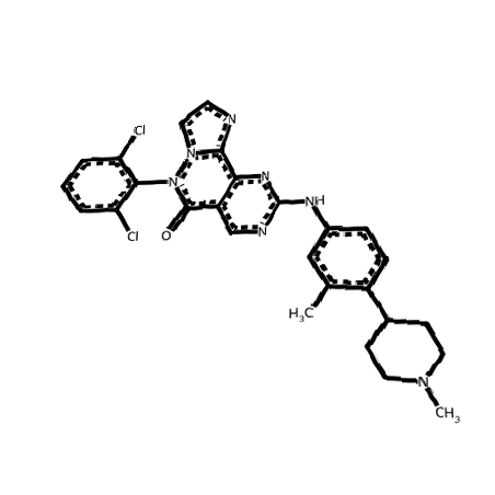 Cc1cc(Nc2ncc3c(=O)n(-c4c(Cl)cccc4Cl)n4ccnc4c3n2)ccc1C1CCN(C)CC1